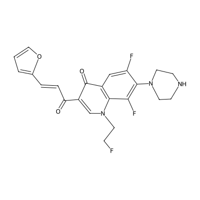 O=C(C=Cc1ccco1)c1cn(CCF)c2c(F)c(N3CCNCC3)c(F)cc2c1=O